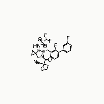 N#CC1(C(=O)N2CC3(CC3)[C@H](NS(=O)(=O)C(F)F)[C@@H]2Cc2cccc(-c3cccc(F)c3)c2F)CCO1